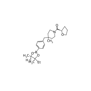 CCC1(C)OB(c2ccc(CC3(C)CCN(C(=O)[C@H]4CCCO4)CC3)cc2)OC1(C)C